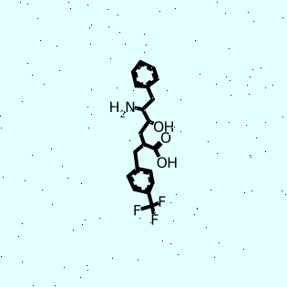 NC(Cc1ccccc1)C(O)CC(Cc1ccc(C(F)(F)F)cc1)C(=O)O